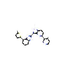 Cc1ccc(-c2cccc3[nH]c(-c4n[nH]c5ccc(-c6cnccc6C)nc45)nc23)s1